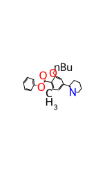 CCCCOc1cc(C2=NCCCC2)cc(C)c1C(=O)Oc1ccccc1